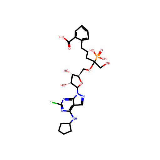 O=C(O)c1ccccc1CCCC(CO)(OC[C@H]1O[C@@H](n2ncc3c(NC4CCCC4)nc(Cl)nc32)[C@H](O)[C@@H]1O)P(=O)(O)O